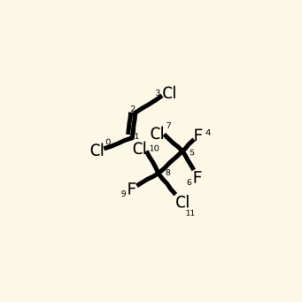 ClC=CCl.FC(F)(Cl)C(F)(Cl)Cl